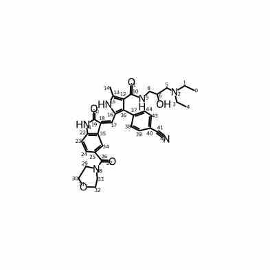 CCN(CC)CC(O)CNC(=O)c1c(C)[nH]c(C=C2C(=O)Nc3ccc(C(=O)N4CCOCC4)cc32)c1-c1ccc(C#N)cc1